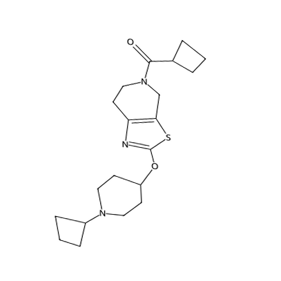 O=C(C1CCC1)N1CCc2nc(OC3CCN(C4CCC4)CC3)sc2C1